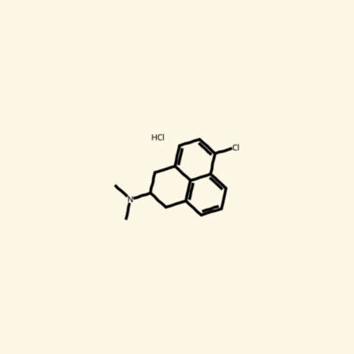 CN(C)C1Cc2cccc3c(Cl)ccc(c23)C1.Cl